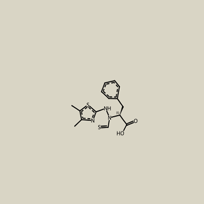 Cc1nc(NN(C=S)[C@@H](Cc2ccccc2)C(=O)O)sc1C